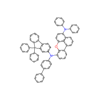 c1ccc(-c2ccc(N(c3ccc4c(c3)C(c3ccccc3)(c3ccccc3)c3ccccc3-4)c3cccc4c3Oc3ccc(N(c5ccccc5)c5ccccc5)c5cccc-4c35)cc2)cc1